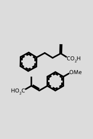 C=C(CCc1ccccc1)C(=O)O.COc1ccc(C=C(C)C(=O)O)cc1